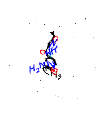 C[C@H](N)C(=O)N1CCC(F)(CNC(=O)c2cc(C3CC3)on2)CC1